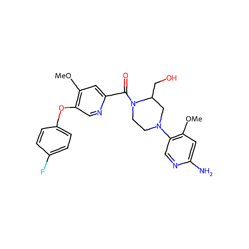 COc1cc(C(=O)N2CCN(c3cnc(N)cc3OC)CC2CO)ncc1Oc1ccc(F)cc1